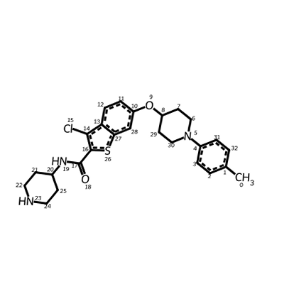 Cc1ccc(N2CCC(Oc3ccc4c(Cl)c(C(=O)NC5CCNCC5)sc4c3)CC2)cc1